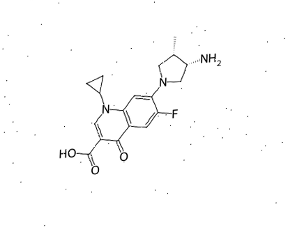 C[C@H]1CN(c2cc3c(cc2F)c(=O)c(C(=O)O)cn3C2CC2)C[C@H]1N